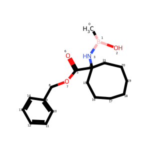 CB(O)NC1(C(=O)OCc2ccccc2)CCCCCCC1